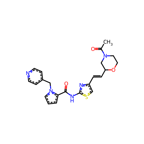 CC(=O)N1CCOC(C=Cc2csc(NC(=O)c3cccn3Cc3ccncc3)n2)C1